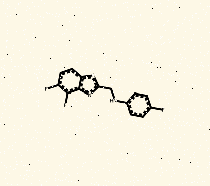 Fc1ccc(NCc2nc3c(F)c(F)ccc3s2)cc1